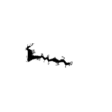 [CH2]CC/C=C/CCCC/C=C\CCC